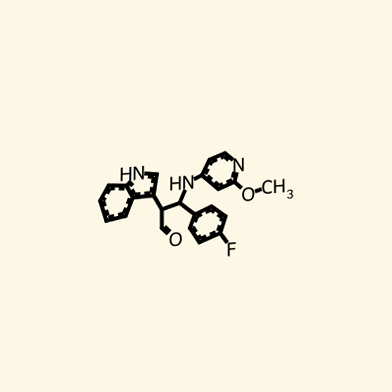 COc1cc(NC(c2ccc(F)cc2)C(C=O)c2c[nH]c3ccccc23)ccn1